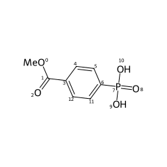 COC(=O)c1ccc(P(=O)(O)O)cc1